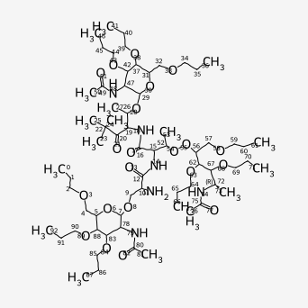 CCCOCC1OC(OCC(N)C(=O)NC(C(=O)NC(C(=O)C(C)(C)C)C(C)OC2OC(COCCC)C(OCCC)C(OCCC)C2NC(C)=O)C(C)OOC(COCCC)C(OCCC)C(OCCC)[C@@H](C)NC(C)=O)C(NC(C)=O)C(OCCC)C1OCCC